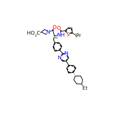 CC[C@H]1CC[C@H](c2ccc(-c3cnc(-c4ccc(C[C@H](NC(=O)c5ccc(C(C)C)s5)C(=O)N5CC(C(=O)O)C5)cc4)nc3)cc2)CC1